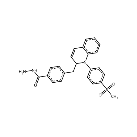 CS(=O)(=O)c1ccc(N2c3ccccc3C=CC2Cc2ccc(C(=O)NN)cc2)cc1